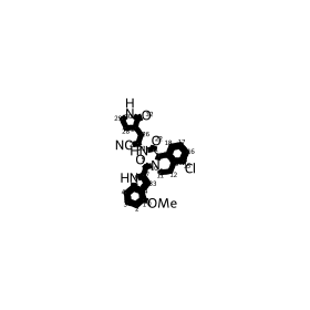 COc1cccc2[nH]c(C(=O)N3CCc4c(Cl)cccc4[C@H]3C(=O)NC(C#N)CC3CCNC3=O)cc12